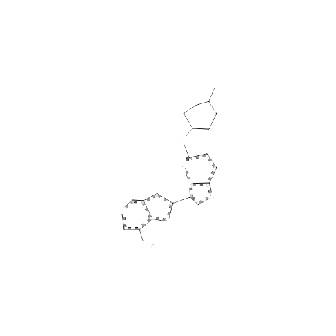 COc1cncc2cc(-c3cnc4ccc(NC5CCC(C)CC5)nn34)sc12